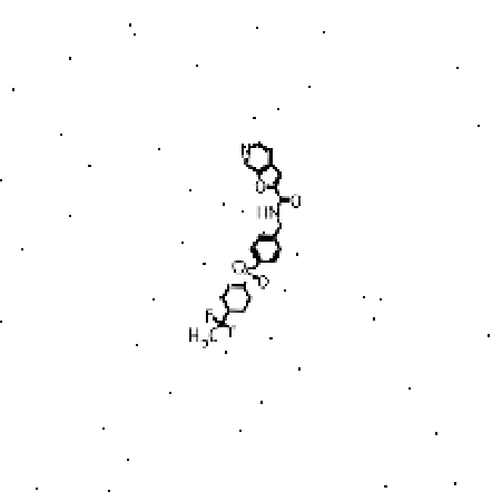 CC(F)(F)C1CCC(S(=O)(=O)c2ccc(CNC(=O)c3cc4ccncc4o3)cc2)CC1